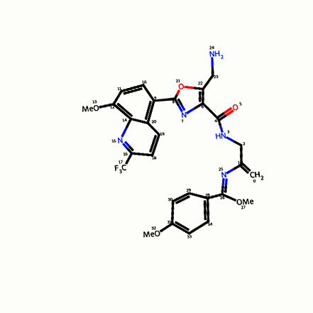 C=C(CNC(=O)c1nc(-c2ccc(OC)c3nc(C(F)(F)F)ccc23)oc1CN)/N=C(\OC)c1ccc(OC)cc1